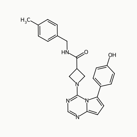 Cc1ccc(CNC(=O)C2CN(c3ncnc4ccc(-c5ccc(O)cc5)n34)C2)cc1